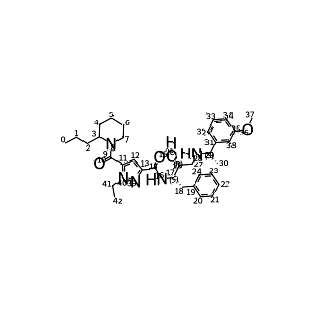 CCCC1CCCCN1C(=O)c1cc(C(=O)N[C@@H](Cc2ccccc2)[C@H](O)CN[C@@H](C)c2cccc(OC)c2)nn1CC